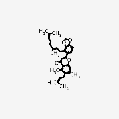 CC(C)=CCC/C(C)=C/Cc1c(C2CC(=O)c3c(cc(C)c(CC=C(C)C)c3C)O2)ccc2c1OCO2